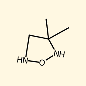 CC1(C)CNON1